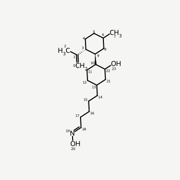 C=C(C)[C@@H]1CCC(C)C[C@H]1C1CCC(CCCC/C=N/O)CC1O